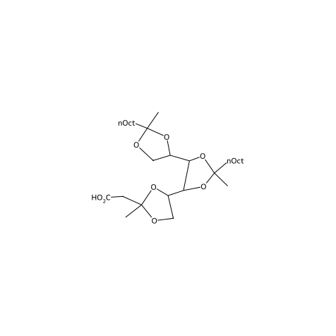 CCCCCCCCC1(C)OCC(C2OC(C)(CCCCCCCC)OC2C2COC(C)(CC(=O)O)O2)O1